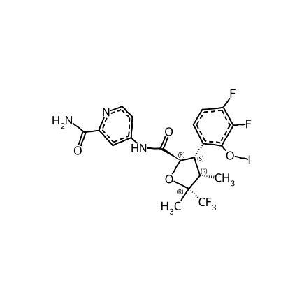 C[C@H]1[C@@H](c2ccc(F)c(F)c2OI)[C@H](C(=O)Nc2ccnc(C(N)=O)c2)O[C@@]1(C)C(F)(F)F